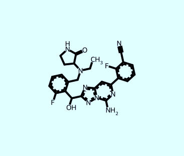 CCN(Cc1cccc(F)c1C(O)c1nc2cc(-c3cccc(C#N)c3F)nc(N)n2n1)C1CCNC1=O